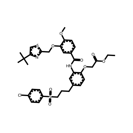 CCOC(=O)COc1ccc(CCCS(=O)(=O)c2ccc(Cl)cc2)cc1NC(=O)c1ccc(OC)c(OCc2nc(C(C)(C)C)cs2)c1